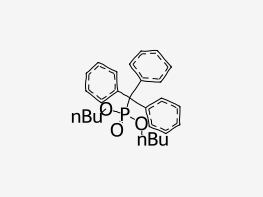 CCCCOP(=O)(OCCCC)C(c1ccccc1)(c1ccccc1)c1ccccc1